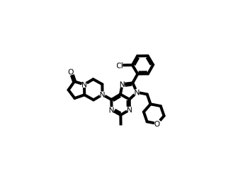 Cc1nc(N2CCN3C(=O)CCC3C2)c2nc(-c3ccccc3Cl)n(CC3CCOCC3)c2n1